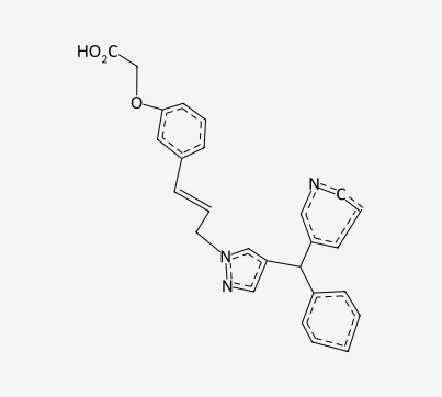 O=C(O)COc1cccc(/C=C/Cn2cc(C(c3ccccc3)c3cccnc3)cn2)c1